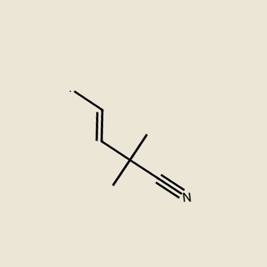 [CH2]/C=C/C(C)(C)C#N